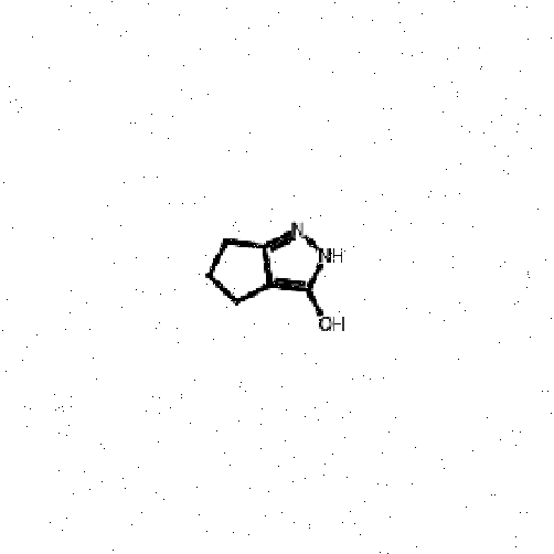 Oc1[nH]nc2c1CCC2